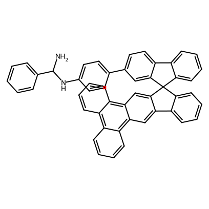 NC(Nc1ccc(-c2ccc3c(c2)C2(c4ccccc4-3)c3ccccc3-c3cc4c5ccccc5c5ccccc5c4cc32)cc1)c1ccccc1